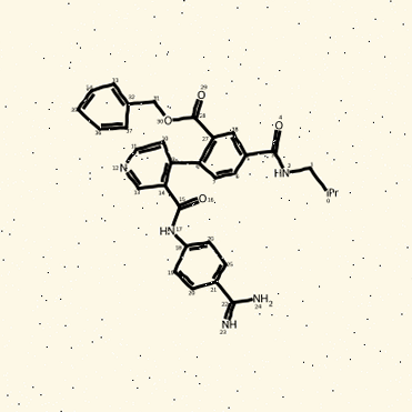 CC(C)CNC(=O)c1ccc(-c2ccncc2C(=O)Nc2ccc(C(=N)N)cc2)c(C(=O)OCc2ccccc2)c1